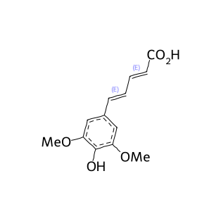 COc1cc(/C=C/C=C/C(=O)O)cc(OC)c1O